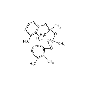 Cc1cccc([O][Sn]([CH3])([CH3])[O][Sn]([CH3])([CH3])[O]c2cccc(C)c2C)c1C